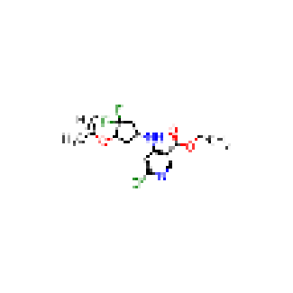 CCOC(=O)c1cnc(Cl)cc1NC1CC(OC(C)C)C(F)(F)C1